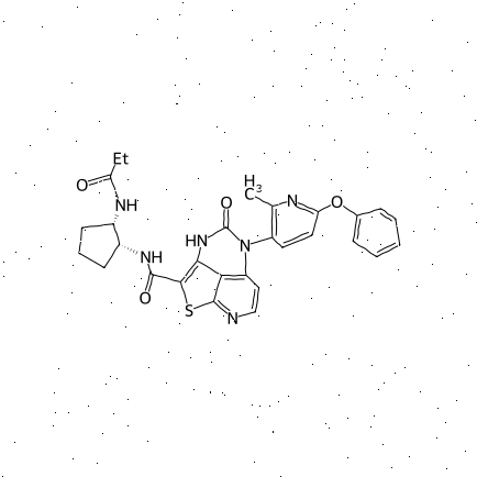 CCC(=O)N[C@H]1CCC[C@H]1NC(=O)c1sc2nccc3c2c1NC(=O)N3c1ccc(Oc2ccccc2)nc1C